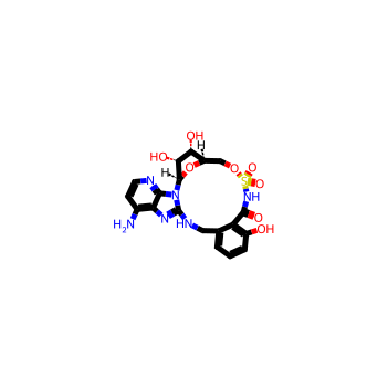 Nc1ccnc2c1nc1n2[C@@H]2O[C@H](COS(=O)(=O)NC(=O)c3c(O)cccc3CN1)[C@@H](O)[C@H]2O